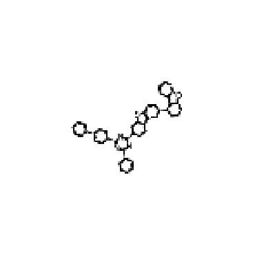 c1ccc(-c2ccc(-c3nc(-c4ccccc4)nc(-c4ccc5c(c4)sc4ccc(-c6cccc7oc8ccccc8c67)cc45)n3)cc2)cc1